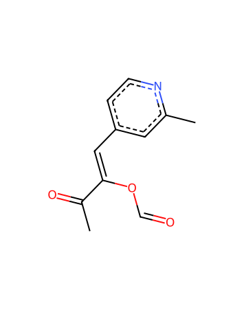 CC(=O)/C(=C/c1ccnc(C)c1)OC=O